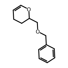 C1=COC(COCc2ccccc2)CC1